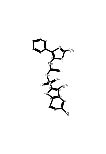 Cc1nc(-c2ccccc2)c(NC(=O)NS(=O)(=O)c2sc3ccc(Cl)cc3c2C)s1